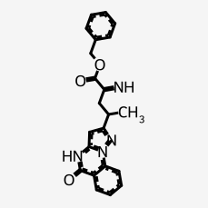 CC(CC(=N)C(=O)OCc1ccccc1)c1cc2[nH]c(=O)c3ccccc3n2n1